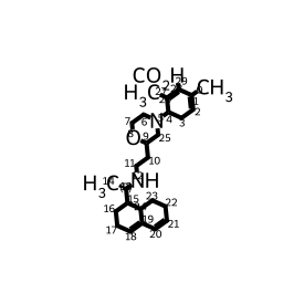 CC1=CCC(N2CCOC(CCN[C@H](C)C3CCC=C4C=CCCC43)C2)C(C)=C1C(=O)O